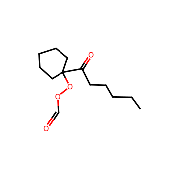 CCCCCC(=O)C1(OOC=O)CCCCC1